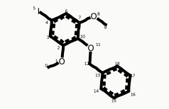 COc1cc(I)cc(OC)c1OCc1ccccc1